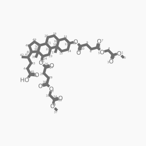 COC(=O)COC(=O)CCC(=O)OC1CCC2(C)C(CCC3C2CC(OC(=O)CCC(=O)OCC(=O)OC)C2(C)C(C(C)CCC(=O)O)CCC32)C1